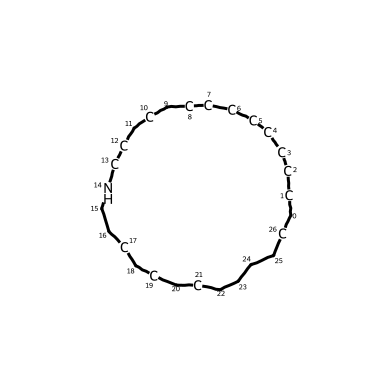 C1CCCCCCCCCCCCCNCCCCCCCCCCCC1